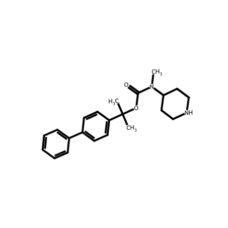 CN(C(=O)OC(C)(C)c1ccc(-c2ccccc2)cc1)C1CCNCC1